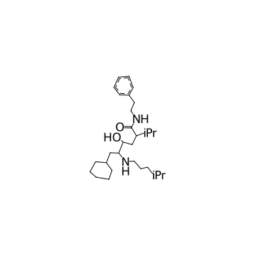 CC(C)CCCNC(CC1CCCCC1)C(O)CC(C(=O)NCCc1ccccc1)C(C)C